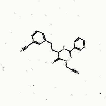 N#CCNC(=O)C(CCc1cccc(C#N)c1)NC(=O)c1ccccc1